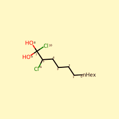 CCCCCCCCCCC(Cl)C(O)(O)Cl